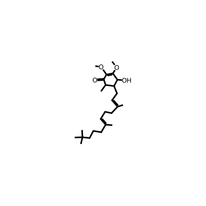 COC1=C(OC)C(O)C(C/C=C(\C)CC/C=C(\C)CCCC(C)(C)C)C(C)C1=O